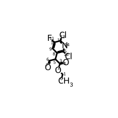 CCOC(=O)C(C=O)c1cc(F)c(Cl)nc1Cl